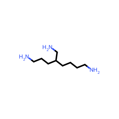 NCCCCC(CN)CCCN